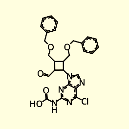 O=CC1C(COCc2ccccc2)C(COCc2ccccc2)C1n1cnc2c(Cl)nc(NC(=O)O)nc21